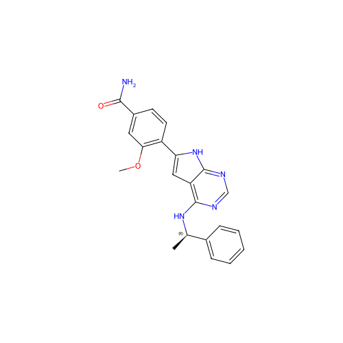 COc1cc(C(N)=O)ccc1-c1cc2c(N[C@H](C)c3ccccc3)ncnc2[nH]1